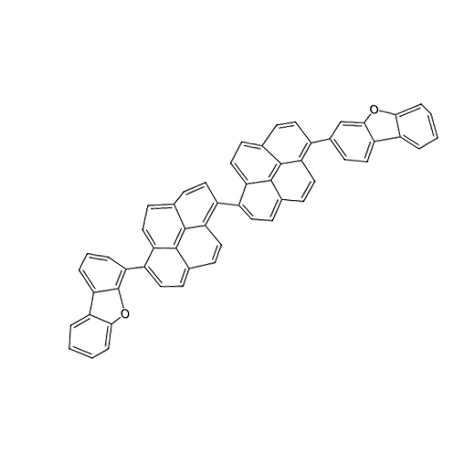 c1ccc2c(c1)oc1cc(-c3ccc4ccc5c(-c6ccc7ccc8c(-c9cccc%10c9oc9ccccc9%10)ccc9ccc6c7c98)ccc6ccc3c4c65)ccc12